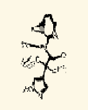 CC(C)N(C(=O)C(C)(C)c1cn[nH]c1)c1ncccn1